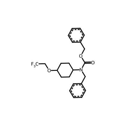 O=C(OCc1ccccc1)N(Cc1ccccc1)C1CCC(OCC(F)(F)F)CC1